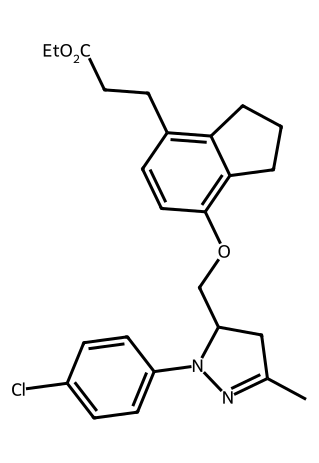 CCOC(=O)CCc1ccc(OCC2CC(C)=NN2c2ccc(Cl)cc2)c2c1CCC2